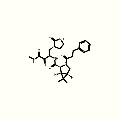 CNC(=O)C(=O)C(C[C@@H]1CCNC1=O)NC(=O)[C@@H]1[C@@H]2[C@H](CN1C(=O)CCc1ccccc1)C2(C)C